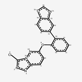 Clc1nnc2ccc(Oc3ccccc3-c3ccc4scnc4c3)nn12